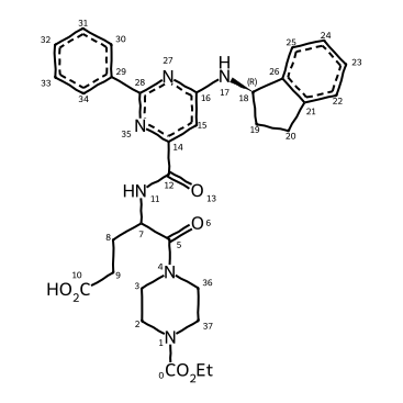 CCOC(=O)N1CCN(C(=O)C(CCC(=O)O)NC(=O)c2cc(N[C@@H]3CCc4ccccc43)nc(-c3ccccc3)n2)CC1